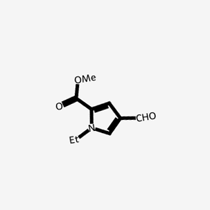 CCn1cc(C=O)cc1C(=O)OC